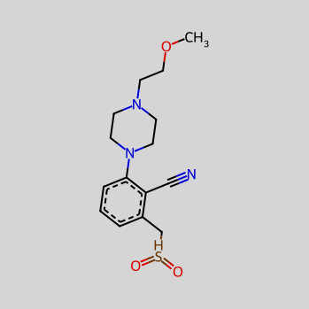 COCCN1CCN(c2cccc(C[SH](=O)=O)c2C#N)CC1